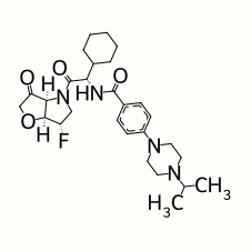 CC(C)N1CCN(c2ccc(C(=O)N[C@H](C(=O)N3C[C@H](F)[C@H]4OCC(=O)[C@H]43)C3CCCCC3)cc2)CC1